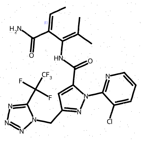 C/C=C(/C(N)=O)C(NC(=O)c1cc(Cn2nnnc2C(F)(F)C(F)(F)F)nn1-c1ncccc1Cl)=C(C)C